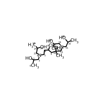 CC(O)CN(CCC(C)CC(C)(C)CN(CC(C)O)CC(C)O)CC(C)O